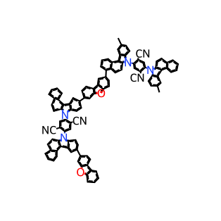 Cc1ccc2c(c1)c1c3ccccc3ccc1n2-c1cc(C#N)c(-n2c3ccc(C)cc3c3c4cccc(-c5ccc6oc7cc(-c8ccc9c(c8)c8c%10ccccc%10ccc8n9-c8cc(C#N)c(-n9c%10ccc(-c%11ccc%12c(c%11)oc%11ccccc%11%12)cc%10c%10c%11ccccc%11ccc%109)cc8C#N)ccc7c6c5)c4ccc32)cc1C#N